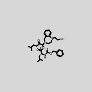 CC(C)CCC(=O)C(NC(=O)[C@H](CC(C)C)NC(=O)OCc1ccccc1)N1CCN(CCO)c2ccccc2C1